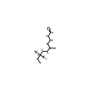 CCC(F)(F)CCC(C)CCCC=O